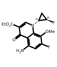 CCOC(=O)c1cn([C@@H]2C[C@H]2F)c2c(OC)c(F)cc(N)c2c1=O